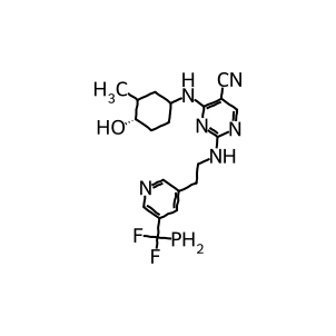 CC1CC(Nc2nc(NCCc3cncc(C(F)(F)P)c3)ncc2C#N)CC[C@@H]1O